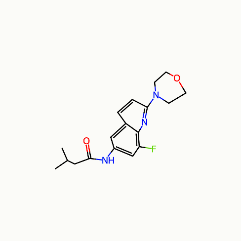 CC(C)CC(=O)Nc1cc(F)c2nc(N3CCOCC3)ccc2c1